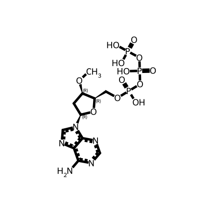 CO[C@@H]1C[C@H](n2cnc3c(N)ncnc32)O[C@@H]1COP(=O)(O)OP(=O)(O)OP(=O)(O)O